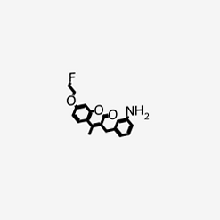 Cc1c(Cc2cccc(N)c2)c(=O)oc2cc(OCCF)ccc12